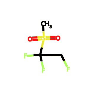 CS(=O)(=O)C(F)(F)CF